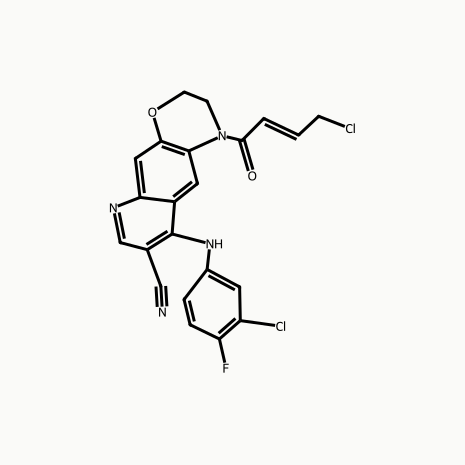 N#Cc1cnc2cc3c(cc2c1Nc1ccc(F)c(Cl)c1)N(C(=O)C=CCCl)CCO3